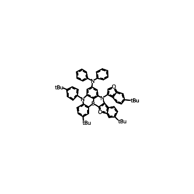 CC(C)(C)c1ccc(N2c3ccc(C(C)(C)C)cc3B3c4oc5cc(C(C)(C)C)ccc5c4N(c4coc5cc(C(C)(C)C)ccc45)c4cc(N(c5ccccc5)c5ccccc5)cc2c43)cc1